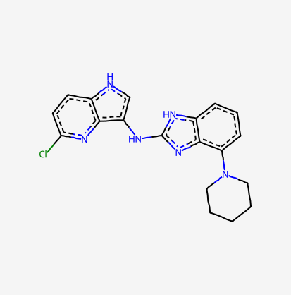 Clc1ccc2[nH]cc(Nc3nc4c(N5CCCCC5)cccc4[nH]3)c2n1